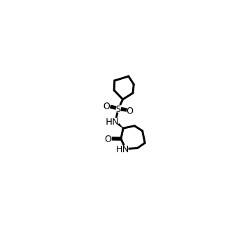 O=C1NCCCC[C@@H]1NS(=O)(=O)C1CCCCC1